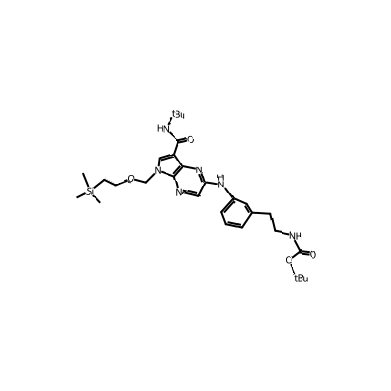 CC(C)(C)NC(=O)c1cn(COCC[Si](C)(C)C)c2ncc(Nc3cccc(CCNC(=O)OC(C)(C)C)c3)nc12